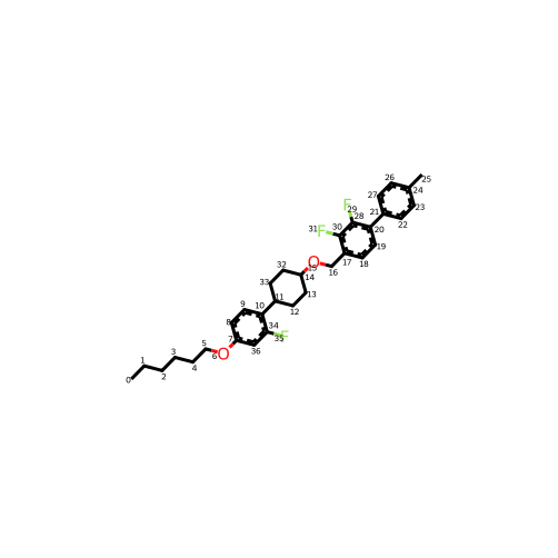 CCCCCCOc1ccc(C2CCC(OCc3ccc(-c4ccc(C)cc4)c(F)c3F)CC2)c(F)c1